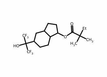 CCC(C)(C)C(=O)OC1CCC2CC(C(O)(C(F)(F)F)C(F)(F)F)CCC21